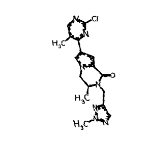 Cc1cnc(Cl)nc1-c1cc2n(c1)C[C@H](C)N(Cc1cnn(C)n1)C2=O